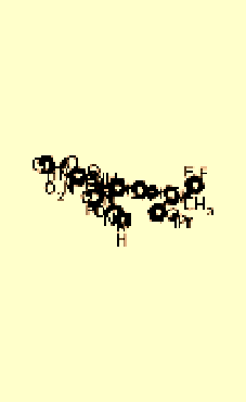 CC(C)Oc1ccccc1[C@@H]1CN(C(C)c2ccc(F)c(F)c2)CCN1C1CC2(CCN(c3ccc(C(=O)NS(=O)(=O)c4cc5c(c([N+](=O)[O-])c4)N[C@H](C4CCOCC4)CO5)c(N4c5cc6cc[nH]c6nc5O[C@H]5COCC[C@@H]54)c3)CC2)C1